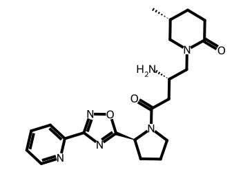 C[C@@H]1CCC(=O)N(C[C@@H](N)CC(=O)N2CCC[C@H]2c2nc(-c3ccccn3)no2)C1